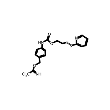 N=C(OCc1ccc(NC(=O)OCCSSc2ccccn2)cc1)C(Cl)(Cl)Cl